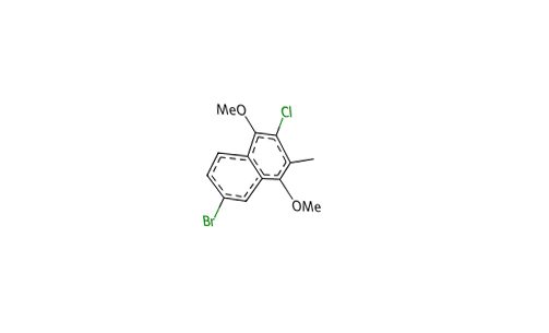 COc1c(C)c(Cl)c(OC)c2ccc(Br)cc12